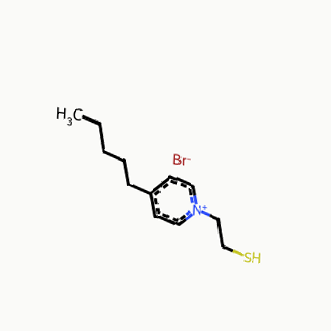 CCCCCc1cc[n+](CCS)cc1.[Br-]